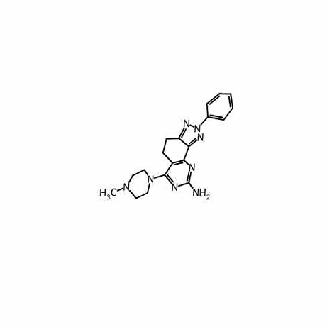 CN1CCN(c2nc(N)nc3c2CCc2nn(-c4ccccc4)nc2-3)CC1